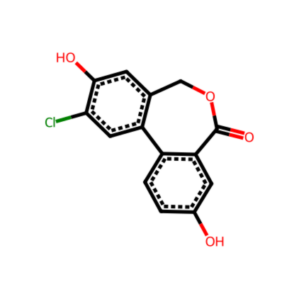 O=C1OCc2cc(O)c(Cl)cc2-c2ccc(O)cc21